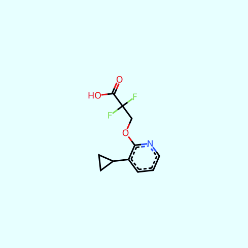 O=C(O)C(F)(F)COc1ncccc1C1CC1